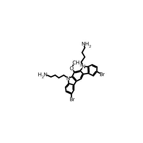 COc1c2c(cc3c4cc(Br)ccc4n(CCCCN)c13)c1cc(Br)ccc1n2CCCCN